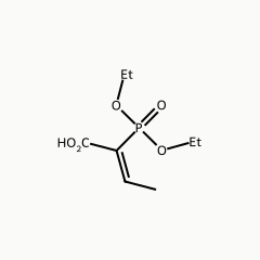 CC=C(C(=O)O)P(=O)(OCC)OCC